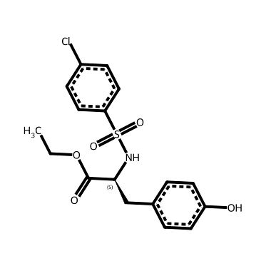 CCOC(=O)[C@H](Cc1ccc(O)cc1)NS(=O)(=O)c1ccc(Cl)cc1